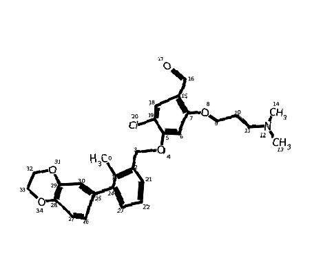 Cc1c(COc2cc(OCCCN(C)C)c(C=O)cc2Cl)cccc1-c1ccc2c(c1)OCCO2